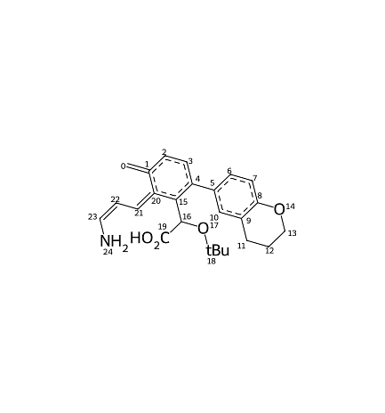 C=c1ccc(-c2ccc3c(c2)CCCO3)c(C(OC(C)(C)C)C(=O)O)/c1=C/C=C\N